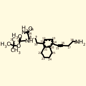 CC(C)(C)OC(=O)N[C@@H](CCc1ccc(C#CCCN)c2c1CCCC2)C(N)=O